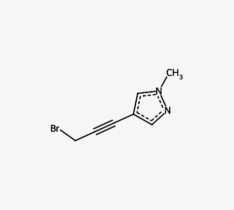 Cn1cc(C#CCBr)cn1